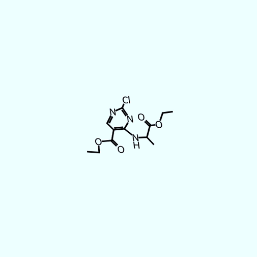 CCOC(=O)c1cnc(Cl)nc1NC(C)C(=O)OCC